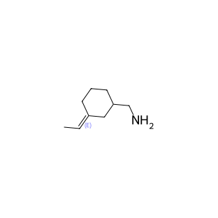 C/C=C1\CCCC(CN)C1